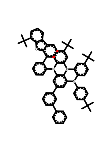 CC(C)(C)c1ccc(N2c3ccc(C(C)(C)C)cc3B3c4cc(C(C)(C)C)ccc4N(c4ccccc4-c4cccc5c4oc4c(C(C)(C)C)cccc45)c4cc(-c5cccc(-c6ccccc6)c5)cc2c43)cc1